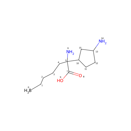 BCCCCC(N)(C(=O)O)C1CCC(N)C1